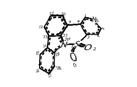 O=S1(=O)c2ccncc2-c2cccc3c4ccccc4n1c23